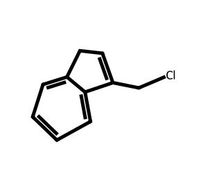 ClCC1=CCc2ccccc21